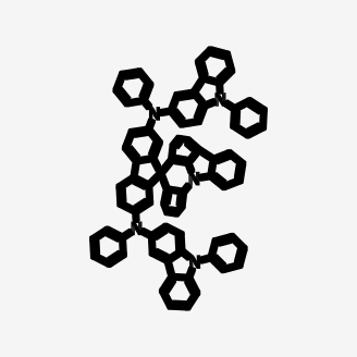 c1ccc(N(c2ccc3c(c2)C2(c4cc(N(c5ccccc5)c5ccc6c(c5)c5ccccc5n6-c5ccccc5)ccc4-3)c3ccccc3-n3c4ccccc4c4cccc2c43)c2ccc3c(c2)c2ccccc2n3-c2ccccc2)cc1